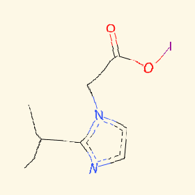 CC(C)c1nccn1CC(=O)OI